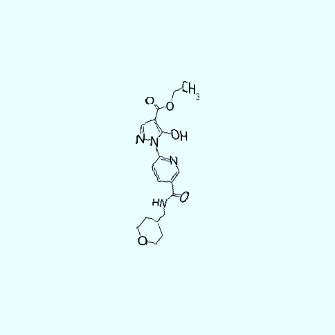 CCOC(=O)c1cnn(-c2ccc(C(=O)NCC3CCOCC3)cn2)c1O